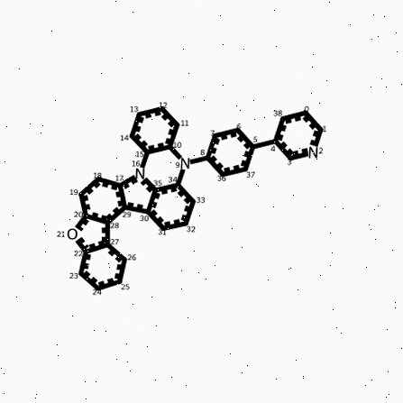 c1cncc(-c2ccc(N3c4ccccc4-n4c5ccc6oc7ccccc7c6c5c5cccc3c54)cc2)c1